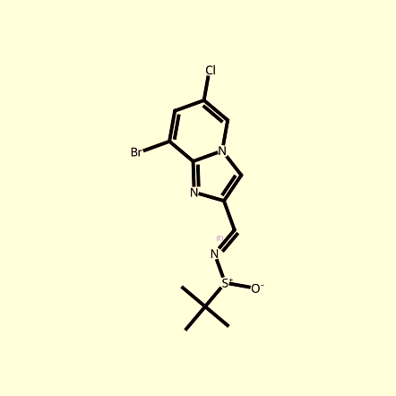 CC(C)(C)[S+]([O-])/N=C/c1cn2cc(Cl)cc(Br)c2n1